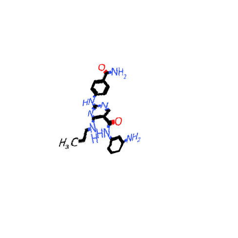 CCCNc1nc(Nc2ccc(C(N)=O)cc2)ncc1C(=O)NC1CCCC(N)C1